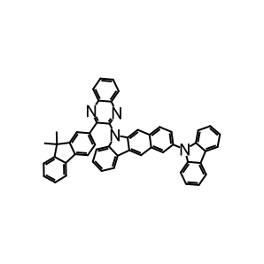 CC1(C)c2ccccc2-c2ccc(-c3nc4ccccc4nc3-n3c4ccccc4c4cc5cc(-n6c7ccccc7c7ccccc76)ccc5cc43)cc21